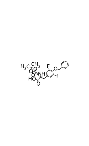 CC(C)(C)OC(=O)N[C@@H](Cc1cc(F)c(OCc2ccccc2)c(I)c1)C(=O)O